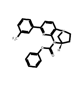 O=C(Oc1ccccc1)N1c2nc(-c3cccc(C(F)(F)F)c3)ccc2N2CC[C@H]1C2